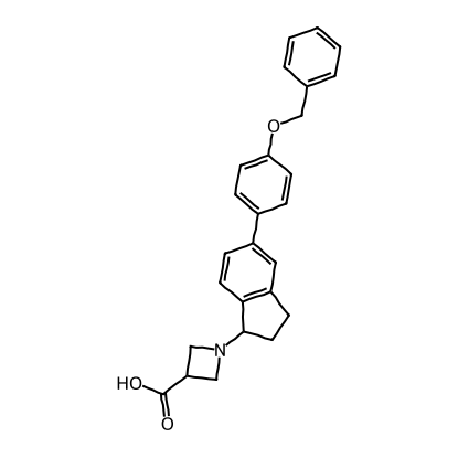 O=C(O)C1CN(C2CCc3cc(-c4ccc(OCc5ccccc5)cc4)ccc32)C1